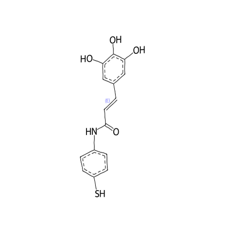 O=C(/C=C/c1cc(O)c(O)c(O)c1)Nc1ccc(S)cc1